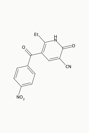 CCc1[nH]c(=O)c(C#N)cc1C(=O)c1ccc([N+](=O)[O-])cc1